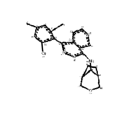 Cc1cc(C)c(-c2nnc(NC3C4CCC3COC4)c3cnccc23)c(O)c1